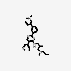 C=C/C(=C\N(C)C)c1cccc(-c2ncc(C(/C=N\C)=C/C)c(NCC(C)CN(C)CCC)n2)c1